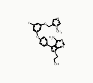 Cn1cncc1COc1cc(F)cc(Oc2ccc(-c3nn(CCO)c4ncnc(N)c34)cc2)c1